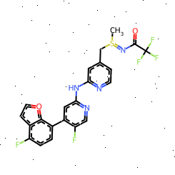 CS(Cc1ccnc(Nc2cc(-c3ccc(F)c4ccoc34)c(F)cn2)c1)=NC(=O)C(F)(F)F